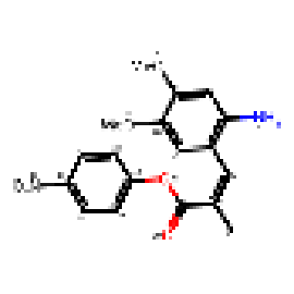 COc1cc(N)c(C=C(C)C(=O)Oc2ccc([N+](=O)[O-])cc2)cc1OC